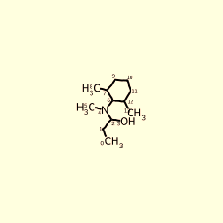 CCC(O)N(C)C1C(C)CCCC1C